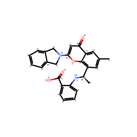 Cc1cc([C@@H](C)Nc2ccccc2C(=O)O)c2oc(N3Cc4ccccc4C3)cc(=O)c2c1